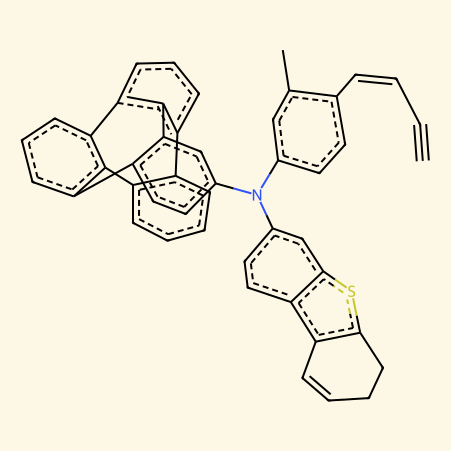 C#C/C=C\c1ccc(N(c2ccc3c(c2)-c2c4cccc2-c2cccc-3c2-c2ccccc2-4)c2ccc3c4c(sc3c2)CCC=C4)cc1C